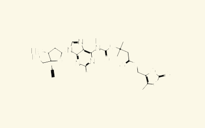 C#C[C@]1(CO)O[C@@H](n2cnc3c(NC(=O)OC(C)(C)CC(=O)OCc4oc(=O)oc4C)nc(F)nc32)C[C@@H]1O